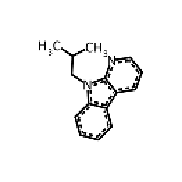 CC(C)Cn1c2ccccc2c2cccnc21